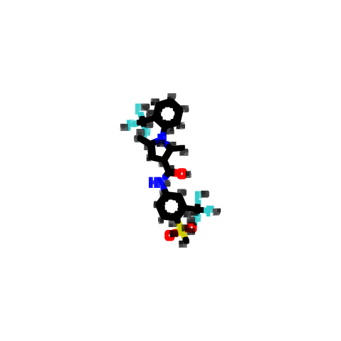 CC1=CC(C(=O)Nc2ccc(S(C)(=O)=O)c(C(F)(F)F)c2)C(C)N1c1ccccc1C(F)(F)F